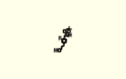 CC(C)(C)OC(=O)NCc1ccc(CCCO)cc1F